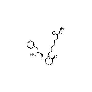 CC(C)OC(=O)CCCCCCN1C(=O)CCC[C@@H]1/C=C/C(O)Cc1ccccc1